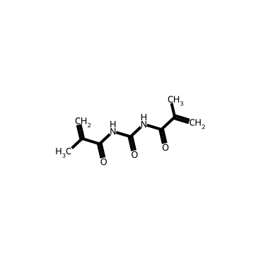 C=C(C)C(=O)NC(=O)NC(=O)C(=C)C